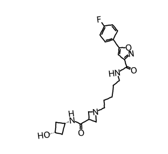 O=C(NCCCCCN1CC(C(=O)N[C@H]2C[C@@H](O)C2)C1)c1cc(-c2ccc(F)cc2)on1